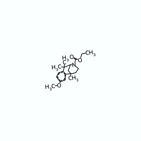 CCOC(=O)N1CCC2(C)CC1C(C)(C)c1ccc(OC)cc12